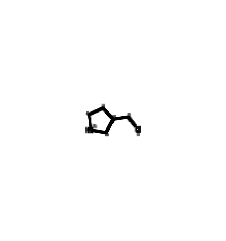 ClCC1CCNC1